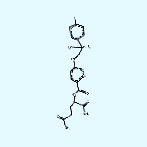 CC(C)(CNc1ccc(C(=O)NC(CCC(N)=O)C(N)=O)nn1)c1ccc(F)cc1